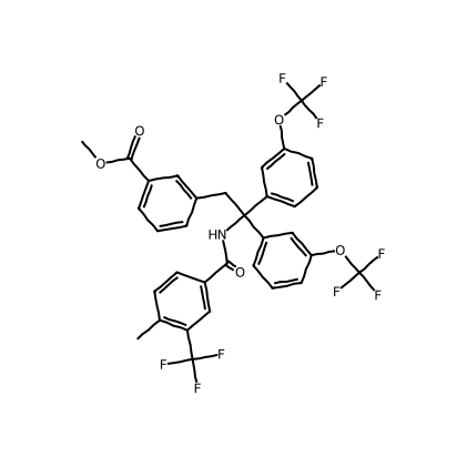 COC(=O)c1cccc(CC(NC(=O)c2ccc(C)c(C(F)(F)F)c2)(c2cccc(OC(F)(F)F)c2)c2cccc(OC(F)(F)F)c2)c1